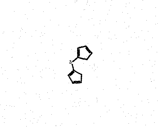 C1=CC[C]([Zr][C]2=CC=CC2)=C1